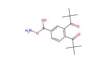 CC(C)(C)C(=O)c1ccc(B(O)ON)cc1C(=O)C(C)(C)C